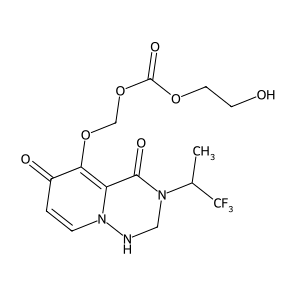 CC(N1CNn2ccc(=O)c(OCOC(=O)OCCO)c2C1=O)C(F)(F)F